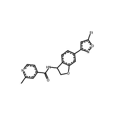 CCc1cc(-c2ccc3c(c2)OCC3NC(=O)c2ccnc(C)c2)no1